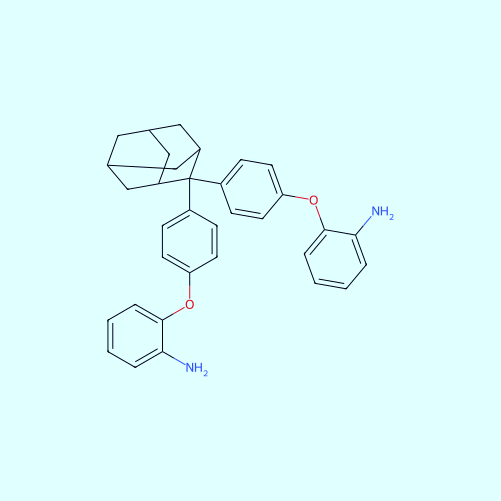 Nc1ccccc1Oc1ccc(C2(c3ccc(Oc4ccccc4N)cc3)C3CC4CC(C3)CC2C4)cc1